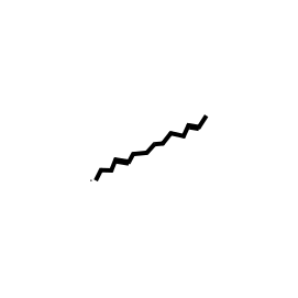 [CH2]CCC=CCCCCCCC=CC